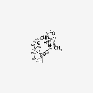 C[C@@H]1C[C@]2(COCCN2)[C@H]2COC3CCC(CC3)C3CCCNC3OCCN12